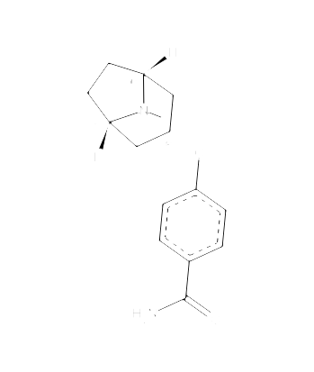 CN1[C@@H]2CC[C@H]1C[C@@H](Oc1ccc(C(N)=O)cc1)C2